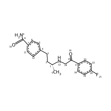 C[C@H](CCc1ccc(C(N)=O)cc1)NCC(=O)c1ccc(F)cc1